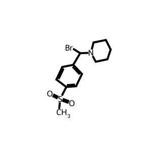 CS(=O)(=O)c1ccc(C(Br)N2CCCCC2)cc1